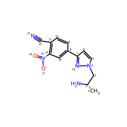 C[C@H](N)Cn1ccc(-c2ccc(C#N)c([N+](=O)[O-])c2)n1